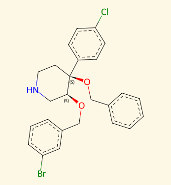 Clc1ccc([C@@]2(OCc3ccccc3)CCNC[C@@H]2OCc2cccc(Br)c2)cc1